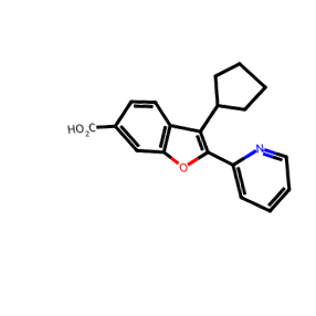 O=C(O)c1ccc2c(C3CCCC3)c(-c3ccccn3)oc2c1